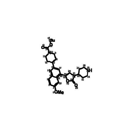 COc1ccc2nc(C3CCN(C(=O)OC(C)(C)C)CC3)cc([C@H]3CN(C4CCNCC4)C(=O)O3)c2c1